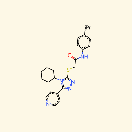 CC(C)c1ccc(NC(=O)CSc2nnc(-c3ccncc3)n2C2CCCCC2)cc1